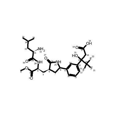 COC(=O)[C@H](C[C@@H]1CC(c2cccc(C(O)(CC(=O)O)C(F)(F)F)c2)NC1=O)NC(=O)[C@@H](N)CC(C)C